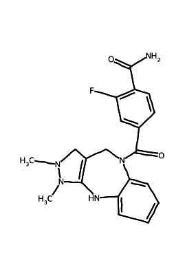 CN1CC2=C(Nc3ccccc3N(C(=O)c3ccc(C(N)=O)c(F)c3)C2)N1C